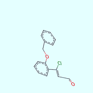 O=CC=C(Cl)c1ccccc1OCc1ccccc1